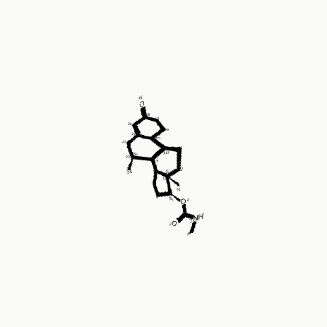 CNC(=O)O[C@H]1CCC2C3C(CC[C@@]21C)C1CCC(=O)C=C1C[C@@H]3C